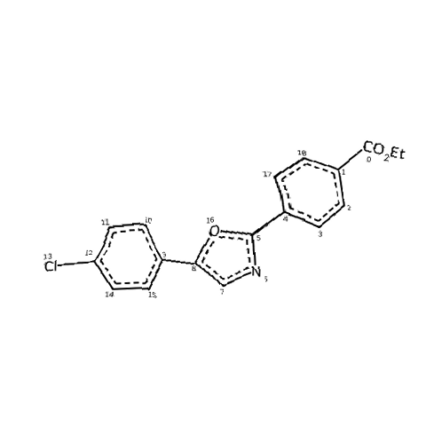 CCOC(=O)c1ccc(-c2ncc(-c3ccc(Cl)cc3)o2)cc1